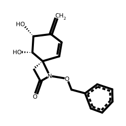 C=C1C=C[C@]2(CC(=O)N2OCc2ccccc2)[C@H](O)[C@@H]1O